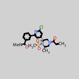 C=CC(=O)N1C[C@H](C)N(S(C)(=O)=O)[C@H](c2cc(Cl)nc(-c3cccc(C(=O)NC)c3)c2)C1